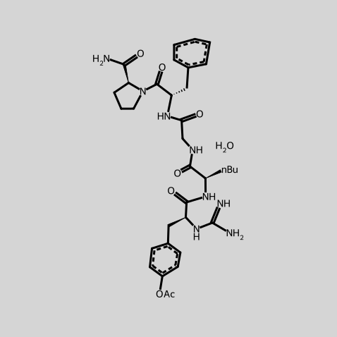 CCCC[C@@H](NC(=O)[C@H](Cc1ccc(OC(C)=O)cc1)NC(=N)N)C(=O)NCC(=O)N[C@@H](Cc1ccccc1)C(=O)N1CCC[C@H]1C(N)=O.O